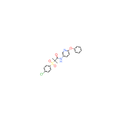 CC(C)(C(=O)Nc1ccc(Oc2ccccc2)nc1)S(=O)(=O)c1ccc(Cl)cc1